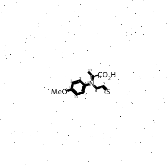 COc1ccc(N(CC=S)[C@@H](C)C(=O)O)cc1